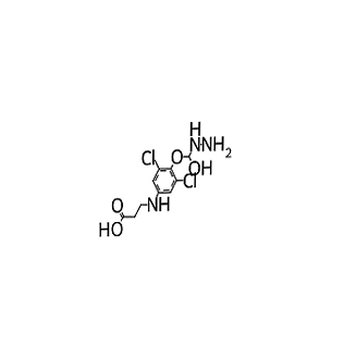 NNC(O)Oc1c(Cl)cc(NCCC(=O)O)cc1Cl